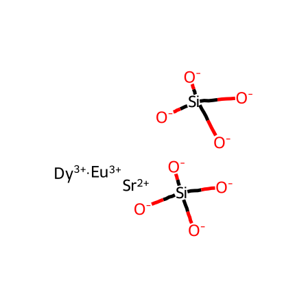 [Dy+3].[Eu+3].[O-][Si]([O-])([O-])[O-].[O-][Si]([O-])([O-])[O-].[Sr+2]